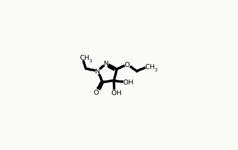 CCOC1=NN(CC)C(=O)C1(O)O